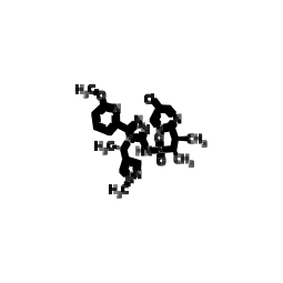 COc1cccc(-c2nnc(NS(=O)(=O)[C@@H](C)[C@H](C)c3ncc(Cl)cn3)n2[C@@H](C)c2cnn(C)c2)n1